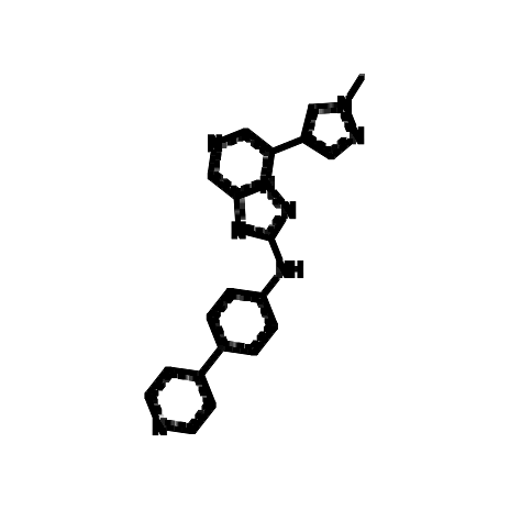 Cn1cc(-c2cncc3nc(Nc4ccc(-c5ccncc5)cc4)nn23)cn1